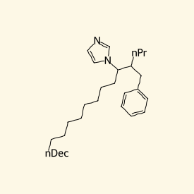 CCCCCCCCCCCCCCCCCCC(C(CCC)Cc1ccccc1)n1ccnc1